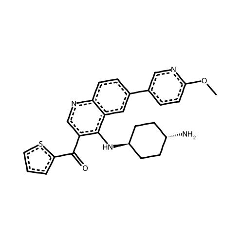 COc1ccc(-c2ccc3ncc(C(=O)c4cccs4)c(N[C@H]4CC[C@H](N)CC4)c3c2)cn1